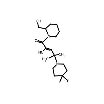 CC(C)(C=C(C#N)C(=O)N1CCCCC1CO)N1CCC(F)(F)CC1